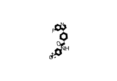 CP(C)(=O)c1ccc(NC(=O)C[C@H]2CC[C@@H](c3ccnc4ccc(F)cc43)CC2)cc1